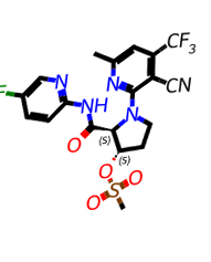 Cc1cc(C(F)(F)F)c(C#N)c(N2CC[C@H](OS(C)(=O)=O)[C@H]2C(=O)Nc2ccc(F)cn2)n1